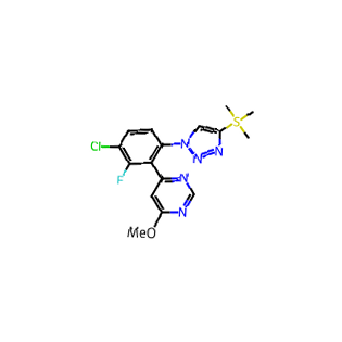 COc1cc(-c2c(-n3cc(S(C)(C)C)nn3)ccc(Cl)c2F)ncn1